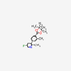 Cc1cc(-c2cc(F)cnc2C)ccc1B1OC(C)(C)C(C)(C)O1